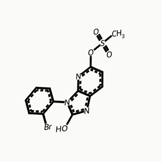 CS(=O)(=O)Oc1ccc2nc(O)n(-c3ccccc3Br)c2n1